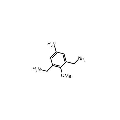 COc1c(CN)cc(N)cc1CN